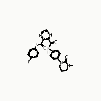 CN1CCCN(c2ccc(NC(=O)c3nccnc3C(=O)Nc3ccc(F)cc3)cc2)C1=O